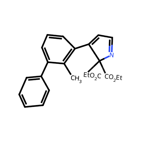 CCOC(=O)C1(C(=O)OCC)N=CC=C1c1cccc(-c2ccccc2)c1C